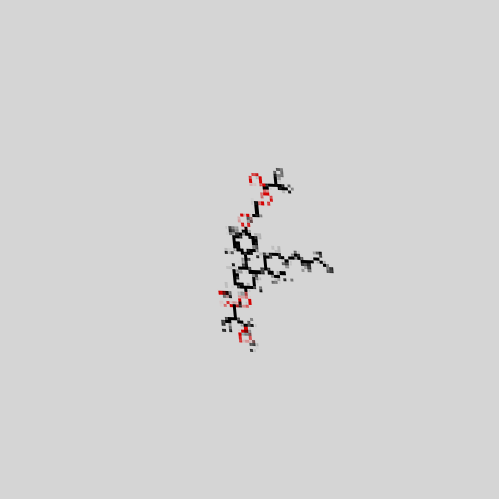 C=C(C)C(=O)OCCOc1ccc(-c2ccc(OC(=O)C(=C)COC)cc2C2CCC(CCCC)CC2)cc1